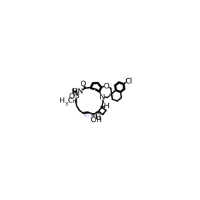 C[C@H]1CC/C=C/[C@H](O)[C@@H]2CC[C@H]2CN2C[C@@]3(CCCc4cc(Cl)ccc43)COc3ccc(cc32)C(=O)NS1(=O)=O